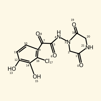 O=C1CN(NC(=O)C(=O)c2ccc(O)c(O)c2Cl)C(=O)CN1